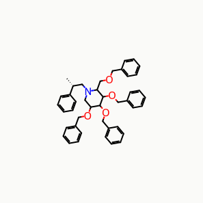 C[C@H](CN1CC(OCc2ccccc2)C(OCc2ccccc2)C(OCc2ccccc2)C1COCc1ccccc1)c1ccccc1